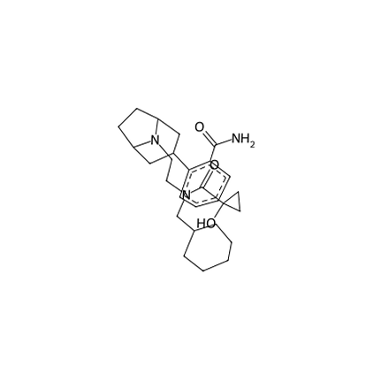 NC(=O)c1ccccc1C1CC2CCC(C1)N2CCN(CC1CCCCC1)C(=O)C1(O)CC1